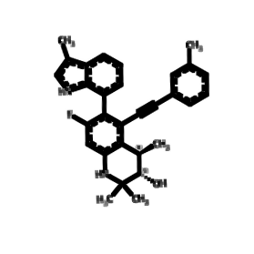 Cc1cccc(C#Cc2c(-c3cccc4c(C)c[nH]c34)c(F)cc3c2[C@@H](C)[C@H](O)C(C)(C)N3)c1